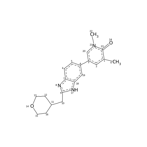 Cc1cc(-c2ccc3nc(CC4CCOCC4)[nH]c3c2)cn(C)c1=O